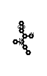 c1ccc(-c2ccc(-c3cc(-c4cc(-c5cccnc5)cc(-c5ccc6c(c5)Oc5ccccc5O6)c4)nc(-c4ccccc4)n3)cc2)cc1